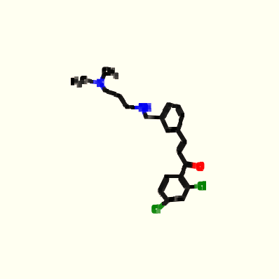 CN(C)CCCNCc1cccc(C=CC(=O)c2ccc(Cl)cc2Cl)c1